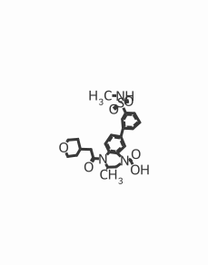 CNS(=O)(=O)c1cccc(-c2ccc3c(c2)N(C(=O)O)C[C@H](C)N3C(=O)CC2CCOCC2)c1